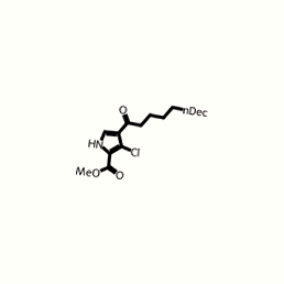 CCCCCCCCCCCCCCC(=O)c1c[nH]c(C(=O)OC)c1Cl